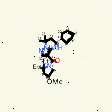 CCC1(CC)C[C@@H](OC)CN1C(=O)c1cnn2c1N[C@@H](C1C=CC=CC1)CC2(C)C